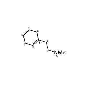 CNCCC1=CCCCC1